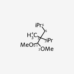 COC(OC)C(C)(CC(C)C)C(C)C